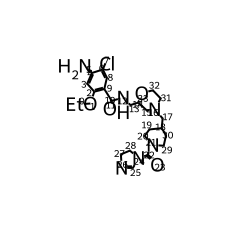 CCOc1cc(N)c(Cl)cc1C(=O)NCC1CN(CC2CCN(C(=O)N3C=NCC3)CC2)CCO1